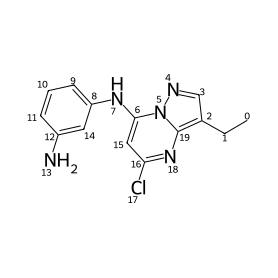 CCc1cnn2c(Nc3cccc(N)c3)cc(Cl)nc12